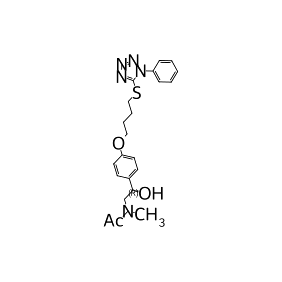 CC(=O)N(C)C[C@H](O)c1ccc(OCCCCSc2nnnn2-c2ccccc2)cc1